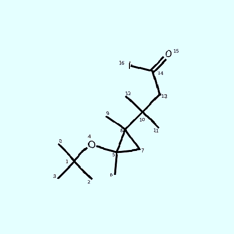 CC(C)(C)OC1(C)CC1(C)C(C)(C)CC(=O)I